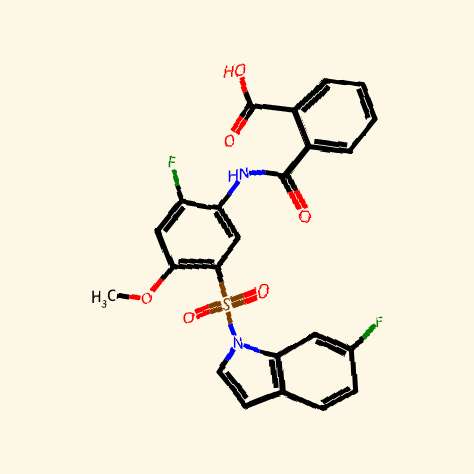 COc1cc(F)c(NC(=O)c2ccccc2C(=O)O)cc1S(=O)(=O)n1ccc2ccc(F)cc21